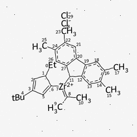 CCC1C=C(C(C)(C)C)C=[C]1[Zr+2](=[C](C)C)[CH]1c2cc(C)c(C)cc2-c2cc(C)c(C)cc21.[Cl-].[Cl-]